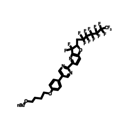 CCCCOCCCCOc1ccc(-c2cnc(-c3ccc4c(n3)C(F)(F)C(CC(F)(F)C(F)(F)C(F)(F)C(F)(F)C(F)(F)C(F)(F)F)O4)nc2)cc1